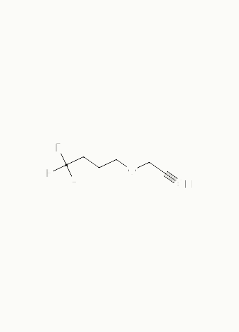 C#CCOCCCC(F)(F)F